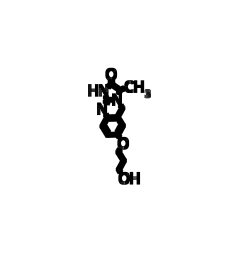 CC1C(=O)NC2=Nc3ccc(OCCCO)cc3CN21